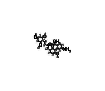 COc1cc(OC)c(C=C[S+]([O-])Cc2ccc(OC)c(-c3cc(N)ccc3C(=O)O)c2)c(OC)c1